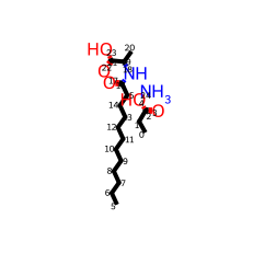 CCC(=O)O.CCCCCCCCCCCC(=O)NC(C)C(=O)O.N